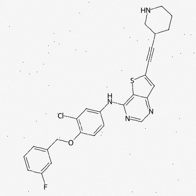 Fc1cccc(COc2ccc(Nc3ncnc4cc(C#CC5CCCNC5)sc34)cc2Cl)c1